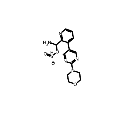 NC(O[SH](=O)=O)c1ncccc1-c1[c]nc(N2CCOCC2)nc1